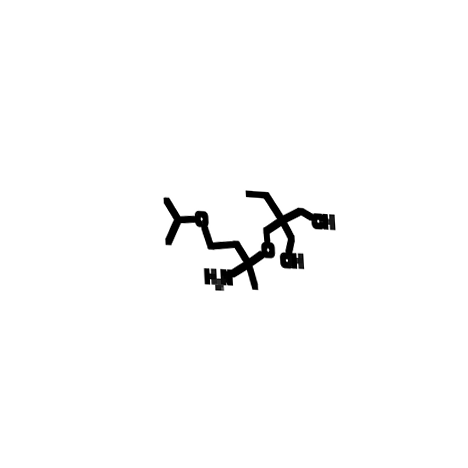 CCC(CO)(CO)COC(C)(N)CCOC(C)C